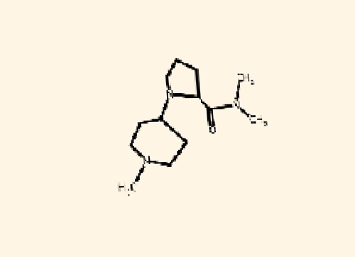 CN1CCC(N2CCC[C@H]2C(=O)N(C)C)CC1